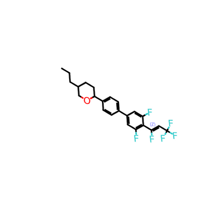 CCCC1CCC(c2ccc(-c3cc(F)c(/C(F)=C/C(F)(F)F)c(F)c3)cc2)OC1